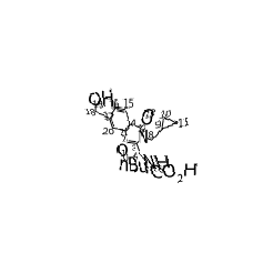 CCCCOc1c(CNC(=O)O)n(CC2CC2)c(=O)c2ccc(CO)cc12